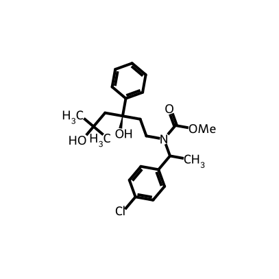 COC(=O)N(CC[C@](O)(CC(C)(C)O)c1ccccc1)C(C)c1ccc(Cl)cc1